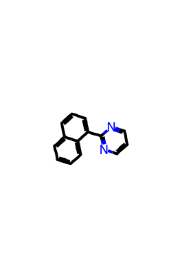 c1cnc(-c2cccc3ccccc23)nc1